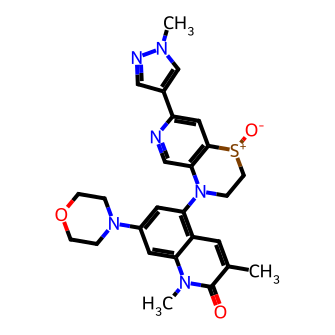 Cc1cc2c(N3CC[S+]([O-])c4cc(-c5cnn(C)c5)ncc43)cc(N3CCOCC3)cc2n(C)c1=O